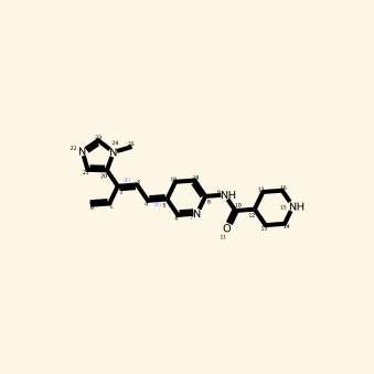 C=C/C(=C\C=C1\C=NC(NC(=O)C2CCNCC2)=CC1)c1cncn1C